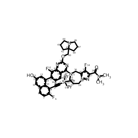 CC(C)[Si](C#Cc1c(F)ccc2cc(O)cc(-c3c(F)cc4c(N5CCCn6nc(C(=O)N(C)C)c(F)c6C5)nc(OCC56CCCN5CCC6)nc4c3F)c12)(C(C)C)C(C)C